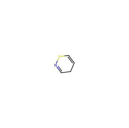 [C]1=CCC=NS1